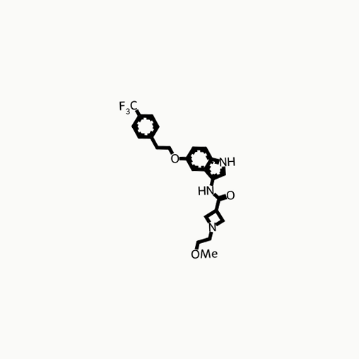 COCCN1CC(C(=O)Nc2c[nH]c3ccc(OCCc4ccc(C(F)(F)F)cc4)cc23)C1